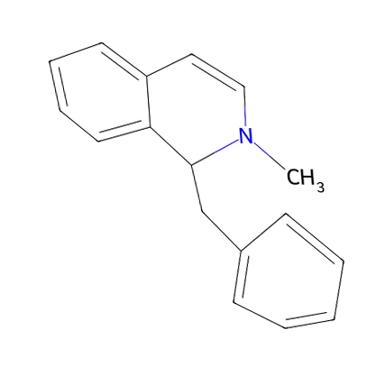 CN1C=Cc2ccccc2C1Cc1ccccc1